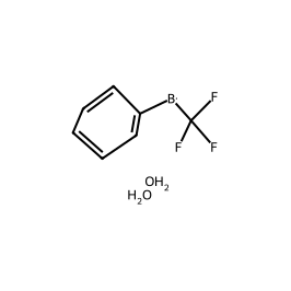 FC(F)(F)[B]c1ccccc1.O.O